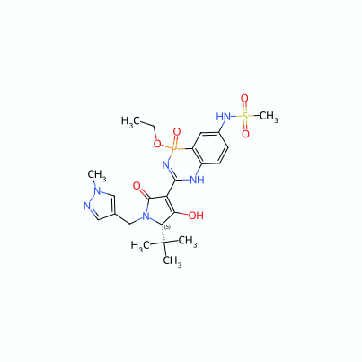 CCOP1(=O)N=C(C2=C(O)[C@H](C(C)(C)C)N(Cc3cnn(C)c3)C2=O)Nc2ccc(NS(C)(=O)=O)cc21